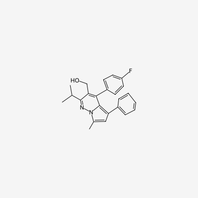 Cc1cc(-c2ccccc2)c2c(-c3ccc(F)cc3)c(CO)c(C(C)C)nn12